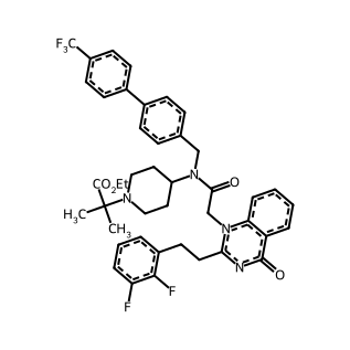 CCOC(=O)C(C)(C)N1CCC(N(Cc2ccc(-c3ccc(C(F)(F)F)cc3)cc2)C(=O)Cn2c(CCc3cccc(F)c3F)nc(=O)c3ccccc32)CC1